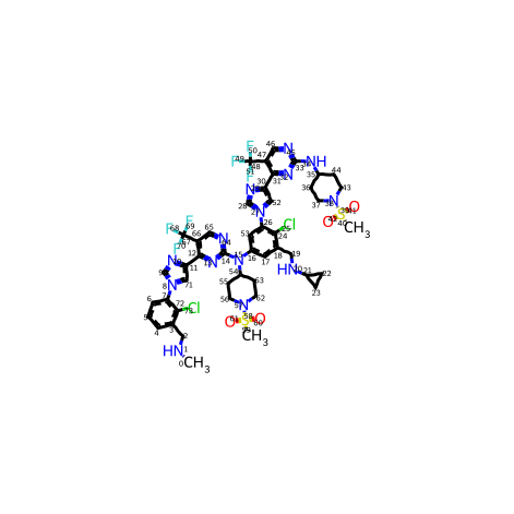 CNCc1cccc(-n2cnc(-c3nc(N(c4cc(CNC5CC5)c(Cl)c(-n5cnc(-c6nc(NC7CCN(S(C)(=O)=O)CC7)ncc6C(F)(F)F)c5)c4)C4CCN(S(C)(=O)=O)CC4)ncc3C(F)(F)F)c2)c1Cl